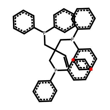 C=CC(CP(c1ccccc1)c1ccccc1)(CP(c1ccccc1)c1ccccc1)CP(c1ccccc1)c1ccccc1